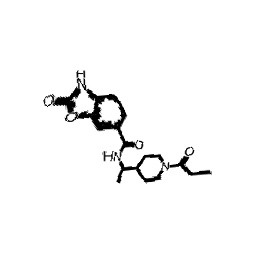 CCC(=O)N1CCC(C(C)NC(=O)c2ccc3[nH]c(=O)oc3c2)CC1